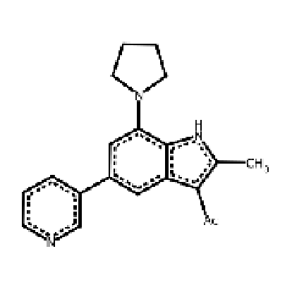 CC(=O)c1c(C)[nH]c2c(N3CCCC3)cc(-c3cccnc3)cc12